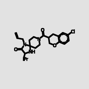 C=CCN1C(=O)C(C(C)C)NC12CCN(C(=O)C1COc3ccc(Cl)cc3C1)CC2